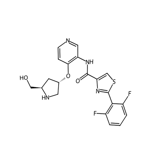 O=C(Nc1cnccc1O[C@@H]1CN[C@@H](CO)C1)c1csc(-c2c(F)cccc2F)n1